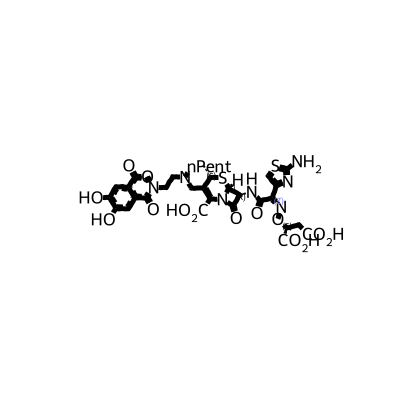 CCCCCN(CCn1oc(=O)c2cc(O)c(O)cc2c1=O)CC1=C(C(=O)O)N2C(=O)[C@@H](NC(=O)/C(=N\O[C@@H](CC(=O)O)C(=O)O)c3csc(N)n3)[C@H]2S[C@H]1C